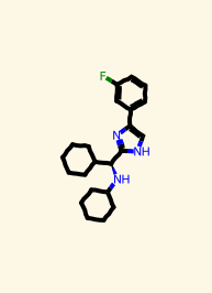 Fc1cccc(-c2c[nH]c([C@@H](NC3CCCCC3)C3CCCCC3)n2)c1